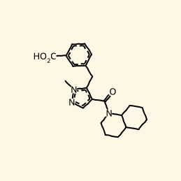 Cn1ncc(C(=O)N2CCCC3CCCCC32)c1Cc1cccc(C(=O)O)c1